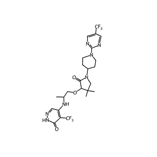 CC(COC1C(=O)N(C2CCN(c3ncc(C(F)(F)F)cn3)CC2)CC1(C)C)Nc1cn[nH]c(=O)c1C(F)(F)F